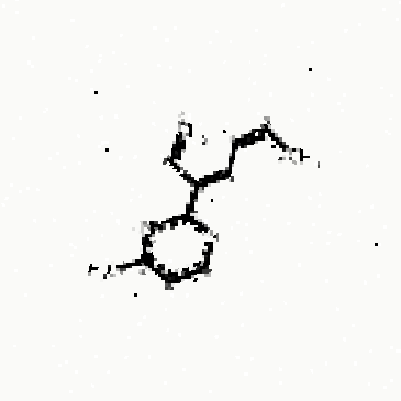 C=C/C(=C\C=C/C)c1nccc(C)n1